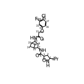 CC(C)C1CC(C(=O)NC2CC(NC(=O)COc3ccc(Cl)c(F)c3)C3CC2C3)ON1